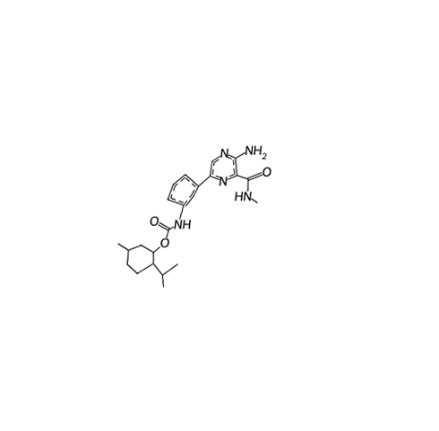 CNC(=O)c1nc(-c2cccc(NC(=O)OC3CC(C)CCC3C(C)C)c2)cnc1N